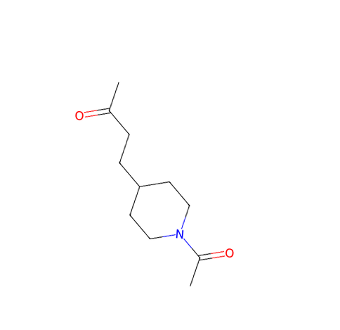 CC(=O)CCC1CCN(C(C)=O)CC1